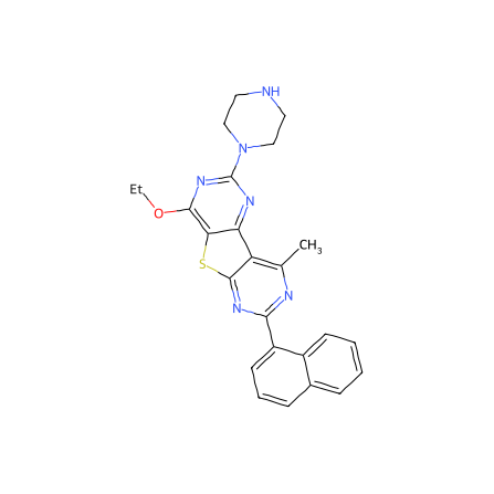 CCOc1nc(N2CCNCC2)nc2c1sc1nc(-c3cccc4ccccc34)nc(C)c12